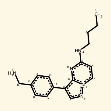 CCCCNc1ccn2ncc(-c3ccc(CN)cc3)c2n1